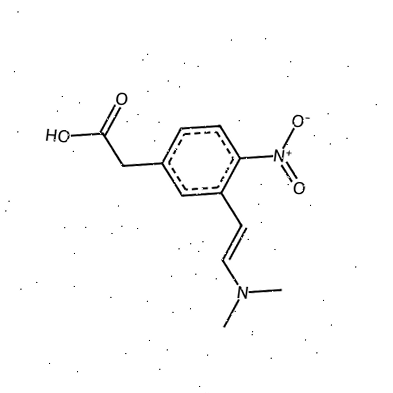 CN(C)C=Cc1cc(CC(=O)O)ccc1[N+](=O)[O-]